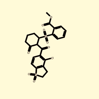 COC(=O)c1ccccc1S(=O)(=O)C1CCCC(=O)C1C(=O)c1ccc2c(c1Cl)CCS2(=O)=O